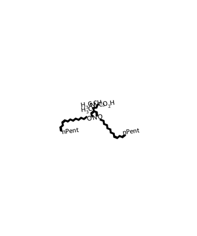 CCCCC/C=C\C/C=C\CCCCCCCCOc1cc(C(C)(CCC(=O)O)N(C)C)cc(OCCCCCCCC/C=C\C/C=C\CCCCC)n1